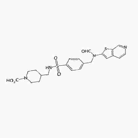 O=CN(Cc1ccc(S(=O)(=O)NCC2CCN(C(=O)O)CC2)cc1)c1cc2ccncc2s1